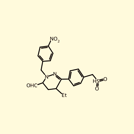 CCC1CC(C=O)N(Cc2ccc([N+](=O)[O-])cc2)N=C1c1ccc(C[SH](=O)=O)cc1